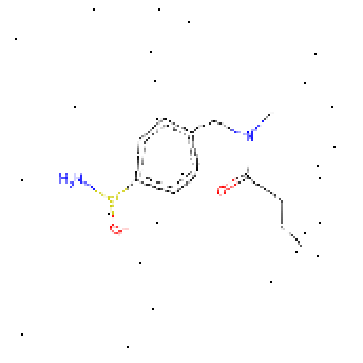 CCCC(=O)N(C)Cc1ccc([S+](N)[O-])cc1